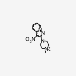 C[N+]1(C)CCN(c2nn3ccccc3c2[N+](=O)[O-])CC1